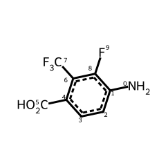 Nc1ccc(C(=O)O)c(C(F)(F)F)c1F